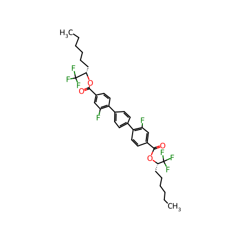 CCCCCC[C@H](OC(=O)c1ccc(-c2ccc(-c3ccc(C(=O)O[C@@H](CCCCCC)C(F)(F)F)cc3F)cc2)c(F)c1)C(F)(F)F